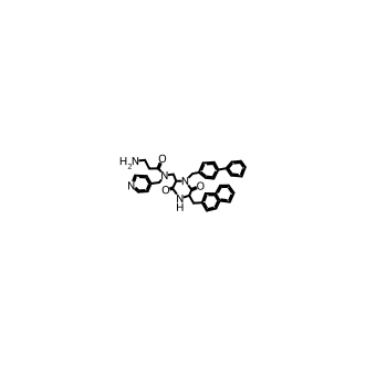 NCCC(=O)N(Cc1ccncc1)CC1C(=O)NC(Cc2ccc3ccccc3c2)C(=O)N1Cc1ccc(-c2ccccc2)cc1